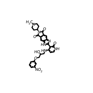 CN1CCC(N2C(=O)c3cc4nc(-c5c(NCC(O)COc6cccc([N+](=O)[O-])c6)cc[nH]c5=O)[nH]c4cc3C2=O)CC1